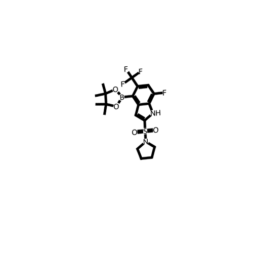 CC1(C)OB(c2c(C(F)(F)F)cc(F)c3[nH]c(S(=O)(=O)N4CCCC4)cc23)OC1(C)C